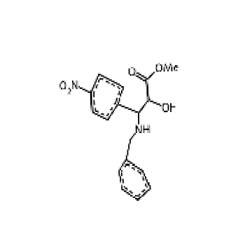 COC(=O)C(O)C(NCc1ccccc1)c1ccc([N+](=O)[O-])cc1